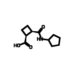 O=C(O)[C@H]1CC[C@H]1C(=O)NC1CCCC1